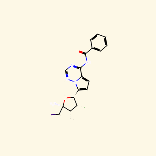 CC(=O)O[C@H]1[C@@H](F)[C@H](c2ccc3c(NC(=O)c4ccccc4)ncnn23)O[C@]1(N)CI